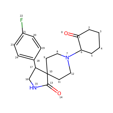 O=C1CCCCC1N1CCC2(CC1)C(=O)NCC2c1ccc(F)cc1